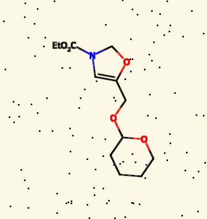 CCOC(=O)N1C=C(COC2CCCCO2)OC1